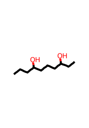 CCCC(O)CCCC(O)CC